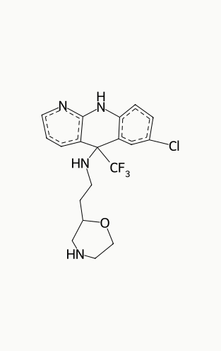 FC(F)(F)C1(NCCC2CNCCO2)c2cc(Cl)ccc2Nc2ncccc21